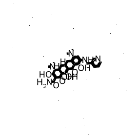 CN(C)c1cc(NCc2cccnc2)c(O)c2c1C[C@H]1C[C@H]3C(N(C)C)C(O)=C(C(N)=O)C(=O)[C@@]3(O)C(O)=C1C2=O